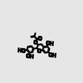 C=C(C)C(=O)OC1Cc2c(O)cc(O)cc2OC1c1ccc(O)c(O)c1